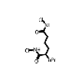 CCCC(CCCC(=O)NCl)C(=O)NCl